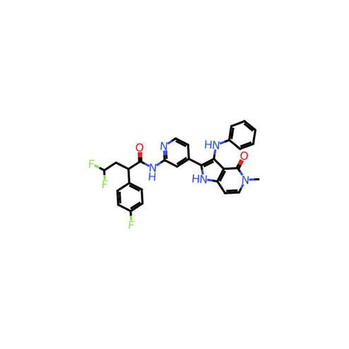 Cn1ccc2[nH]c(-c3ccnc(NC(=O)C(CC(F)F)c4ccc(F)cc4)c3)c(Nc3ccccc3)c2c1=O